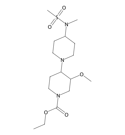 CCOC(=O)N1CCC(N2CCC(N(C)S(C)(=O)=O)CC2)C(OC)C1